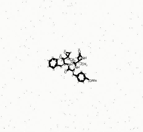 COc1ccc(C[C@H](NC(=O)[C@@]2(C)CC(=O)N2)C(=O)N[C@@H](Cc2ccccc2)C(=O)[C@@]2(C)CO2)cc1